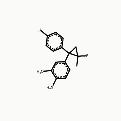 Cc1cc(C2(c3ccc(Cl)cc3)CC2(F)F)ccc1N